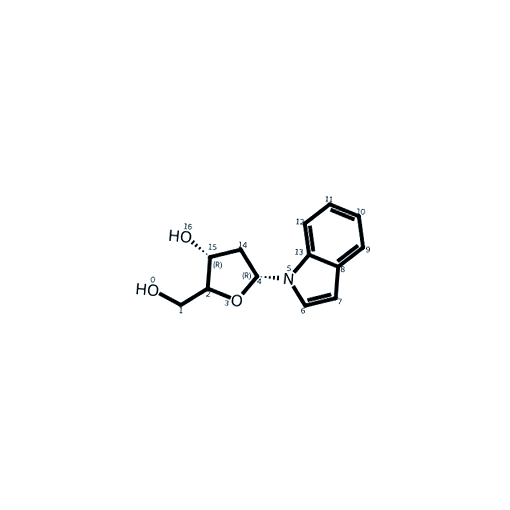 OCC1O[C@@H](n2ccc3ccccc32)C[C@H]1O